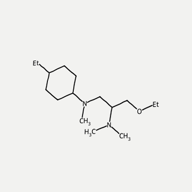 CCOCC(CN(C)C1CCC(CC)CC1)N(C)C